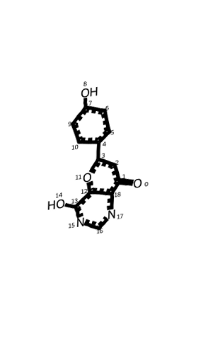 O=c1cc(-c2ccc(O)cc2)oc2c(O)ncnc12